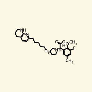 COc1c(F)cc(C)cc1[C@H](C(=O)O)N1CC[C@@H](OCCCCCc2ccc3c(n2)NCCC3)C1